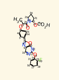 CC(Oc1ccc(-c2nc3cnc(Oc4ccccc4F)nc3o2)cc1)C(=O)N1CCC[C@@H]1OC(=O)O